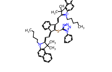 CCCCCN1/C(=C/C=C2C(Sc3nnnn3-c3ccccc3)=C(/C=C/C3=[N+](CCCCC)c4ccc5ccccc5c4C3(C)C)c3ccccc3/2)C(C)(C)c2c1ccc1ccccc21